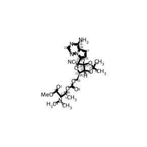 COC(=O)[C@H]([C@@H](C)OC(=O)OC[C@H]1O[C@@](C#N)(c2ccc3c(N)ncnn23)[C@@H]2OC(C)(C)O[C@@H]21)N(C)C